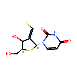 O=c1ccn([C@@H]2S[C@@H](CO)C(O)/C2=C\F)c(=O)[nH]1